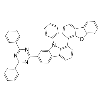 c1ccc(-c2nc(-c3ccccc3)nc(-c3ccc4c5cccc(-c6cccc7c6oc6ccccc67)c5n(-c5ccccc5)c4c3)n2)cc1